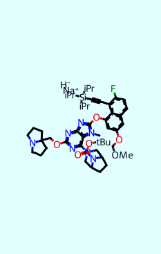 COCOc1cc(Oc2nc3nc(OCC45CCCN4CCC5)nc(N4CC5CCC(C4)N5C(=O)OC(C)(C)C)c3n2C)c2c(C#C[Si](C(C)C)(C(C)C)C(C)C)c(F)ccc2c1.[H-].[Na+]